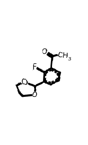 CC(=O)c1cccc(C2OCCO2)c1F